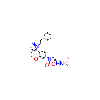 CC(=O)NC[C@H]1CN(c2ccc3c(c2)OCCc2cnn(CCc4ccccc4)c2-3)C(=O)O1